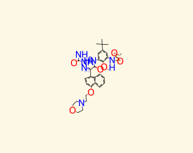 COc1c(NC(=O)/C(=N\NC(N)=O)c2ccc(OCCN3CCOCC3)c3ccccc23)cc(C(C)(C)C)cc1NS(C)(=O)=O